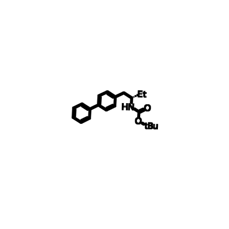 CC[C@@H](Cc1ccc(-c2ccccc2)cc1)NC(=O)OC(C)(C)C